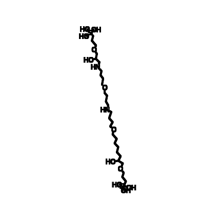 OC(CCCCCCOCCCCNCCCCOCCCCNCC(O)COCCC[Si](O)(O)O)COCCC[Si](O)(O)O